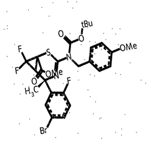 COC(=O)C12SC(N(Cc3ccc(OC)cc3)C(=O)OC(C)(C)C)=N[C@](C)(c3cc(Br)ccc3F)C1C2(F)F